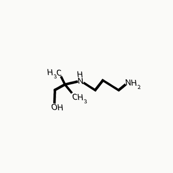 CC(C)(CO)NCCCN